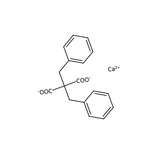 O=C([O-])C(Cc1ccccc1)(Cc1ccccc1)C(=O)[O-].[Ca+2]